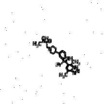 Cc1cc(-c2[nH]c3ccc(C4CCN(CC(=O)N(C)C)CC4)cc3c2C(C)C)c(C)n2nnnc12